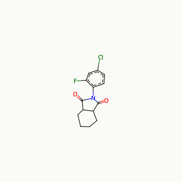 O=C1C2CCCCC2C(=O)N1c1ccc(Cl)cc1F